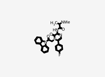 CNC(C)C(=O)Nc1ncc(-c2ccc(F)cc2)n(CC(=O)n2c3ccccc3c3ccccc32)c1=O